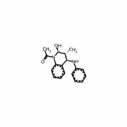 CC(=O)N1c2ccccc2[C@H](Nc2ccccc2)[C@@H](C)[C@@H]1O